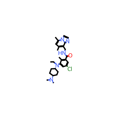 CCN(c1cc(Cl)cc(C(=O)NCc2c(C)cc(C)n3ccnc23)c1C)[C@H]1CC[C@H](N(C)C)CC1